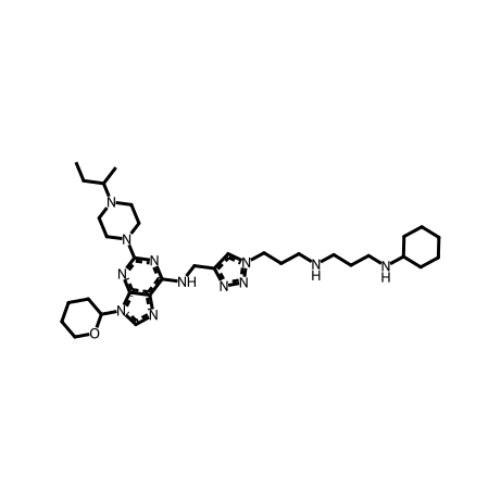 CCC(C)N1CCN(c2nc(NCc3cn(CCCNCCCNC4CCCCC4)nn3)c3ncn(C4CCCCO4)c3n2)CC1